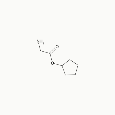 NCC(=O)OC1[CH]CCC1